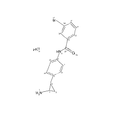 Cl.NC1CC1c1ccc(NC(=O)c2cccc(Br)c2)cc1